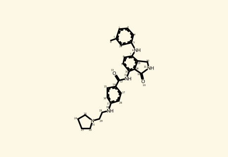 Cc1cccc(Nc2ccc(NC(=O)c3ccc(NCCN4CCCC4)cc3)c3c2CNC3=O)c1